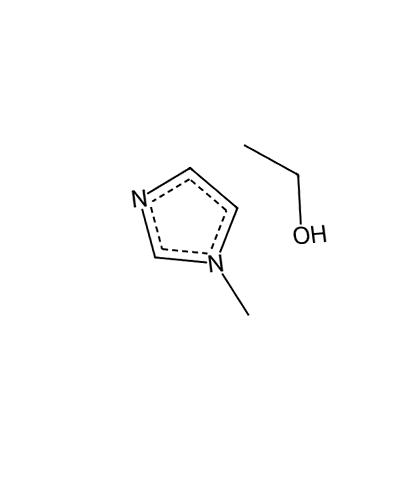 CCO.Cn1ccnc1